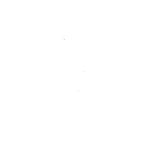 O=C(c1ccc(N2CCOCC2)cc1)N(O)O